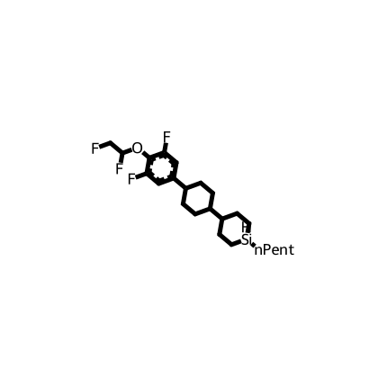 CCCCC[SiH]1CCC(C2CCC(c3cc(F)c(OC(F)CF)c(F)c3)CC2)CC1